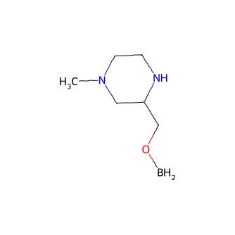 BOCC1CN(C)CCN1